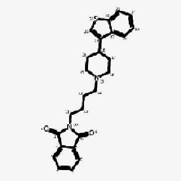 O=C1c2ccccc2C(=O)N1CCCCN1CCC(c2csc3ccccc23)CC1